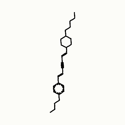 CCCCCC1CCC(C=CC#CC=Cc2ccc(CCCC)cc2)CC1